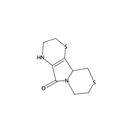 O=C1C2=C(SCCN2)C2CSCCN12